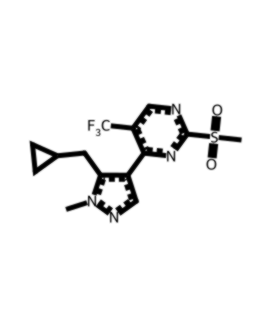 Cn1ncc(-c2nc(S(C)(=O)=O)ncc2C(F)(F)F)c1CC1CC1